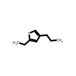 CCCc1csc(CC)c1